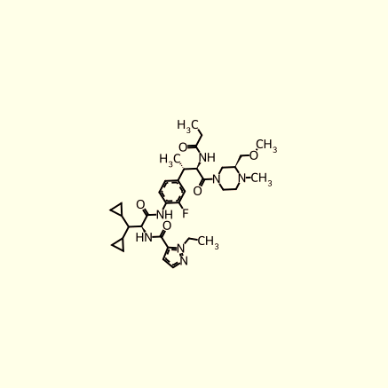 CCC(=O)N[C@@H](C(=O)N1CCN(C)[C@H](COC)C1)[C@@H](C)c1ccc(NC(=O)[C@@H](NC(=O)c2ccnn2CC)C(C2CC2)C2CC2)c(F)c1